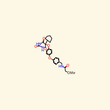 COCC(=O)NCc1ccc(Oc2ccc(OC3(C4CCCCC4)C(=O)NC(=O)NC3=O)cc2)cc1